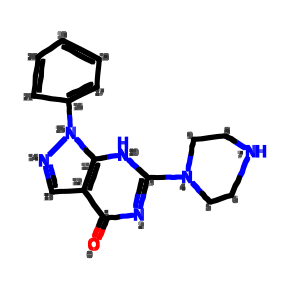 O=c1nc(N2CCNCC2)[nH]c2c1cnn2-c1ccccc1